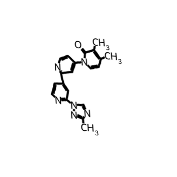 Cc1ncn(-c2cc(-c3cc(-n4ccc(C)c(C)c4=O)ccn3)ccn2)n1